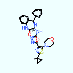 CC1(c2nc(-c3nnc(N[C@H]4N=C(c5ccccc5)c5ccccc5NC4=O)o3)c(N3CCOCC3)s2)CC1